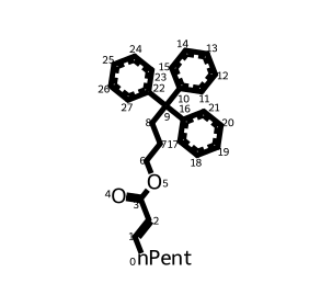 CCCCCC=CC(=O)OCCCC(c1ccccc1)(c1ccccc1)c1ccccc1